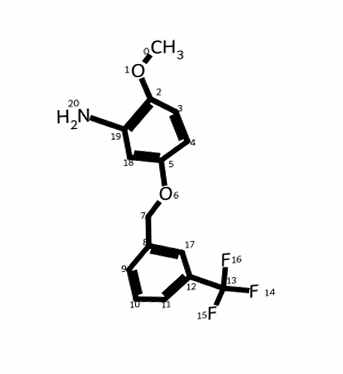 COc1ccc(OCc2cccc(C(F)(F)F)c2)cc1N